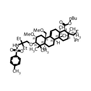 CCCCOC(=O)[C@@H]1[C@@](C)([C@H](C)C(C)C)CC[C@]2(C)[C@H]3CC[C@H]4C(C)(C)[C@@H](OCC(CC)(CC)NS(=O)(=O)c5ccc(C)cc5)[C@H](OC)C[C@]4(COC)C3=CC[C@@]12C